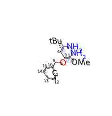 CO/C(N)=C(/C=C(\N)C(C)(C)C)OCc1ccccc1